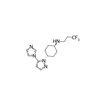 FC(F)(F)CCN[C@H]1CC[C@H](n2nccc2-n2ccnc2)CC1